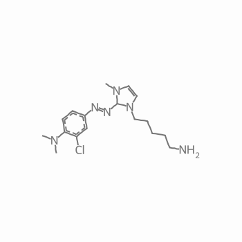 CN(C)c1ccc(/N=N/C2N(C)C=CN2CCCCCN)cc1Cl